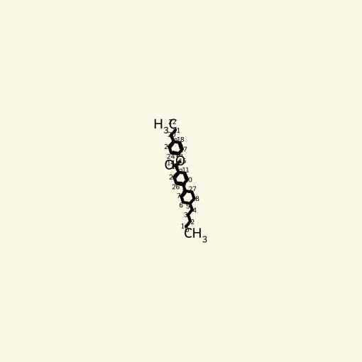 CCCCCC1CC=C(c2ccc(C(=O)Oc3ccc(CCC)cc3)cc2)CC1